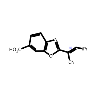 CC(C)/C=C(\C#N)c1nc2ccc(C(=O)O)cc2o1